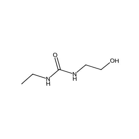 CCNC(=O)NCCO